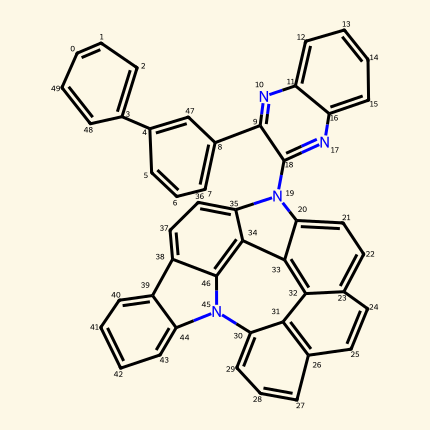 c1ccc(-c2cccc(-c3nc4ccccc4nc3-n3c4ccc5ccc6cccc7c6c5c4c4c3ccc3c5ccccc5n7c34)c2)cc1